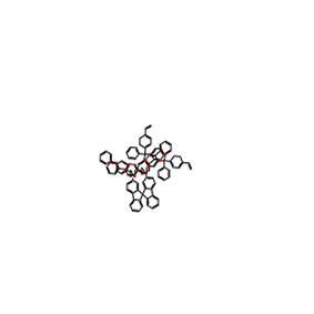 C=CC1=CC=C(C2(c3ccccc3)c3ccccc3-c3ccc(N(c4ccc(-c5ccccc5)cc4)c4ccc5c(c4)C4(c6ccccc6-5)c5ccccc5-c5ccc(N(c6ccc(-c7ccccc7)cc6)c6ccc7c(c6)C(C6=CC=C(C=C)CC6)(c6ccccc6)c6ccccc6-7)cc54)cc32)CC1